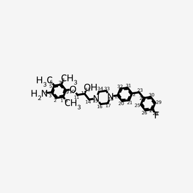 Cc1cc(N)c(C)c(C)c1OC[C@@H](O)CN1CCN(c2ccc(Cc3ccc(F)cc3)cc2)CC1